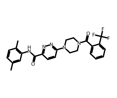 Cc1ccc(C)c(NC(=O)c2ccc(N3CCN(C(=O)c4ccccc4C(F)(F)F)CC3)nn2)c1